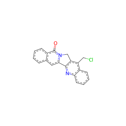 O=c1c2ccccc2cc2n1Cc1c-2nc2ccccc2c1CCl